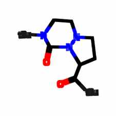 CC(C)(C)C(=O)C1CCN2CCN(C(C)(C)C)C(=O)N12